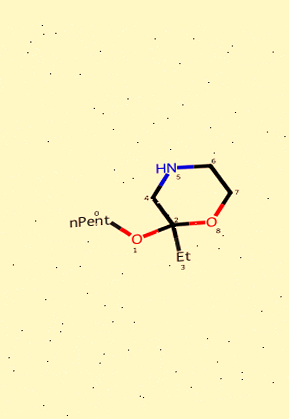 CCCCCOC1(CC)CNCCO1